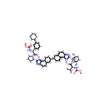 COC(=O)N[C@H](C(=O)N1[C@@H]2CC[C@@H](C2)[C@H]1c1nc2ccc3cc(-c4ccc5c(ccc6nc([C@@H]7CCCN7C(=O)[C@H](NC(=O)OC)c7cccc(C8CCCCC8)c7)[nH]c65)c4)ccc3c2[nH]1)C(C)C